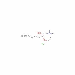 CCCCCCCCCCC1(O)C[N+](C)(C)CCO1.[Br-]